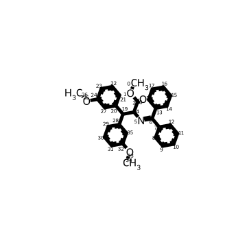 COC(=O)C(N=C(c1ccccc1)c1ccccc1)C(c1cccc(OC)c1)c1cccc(OC)c1